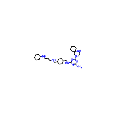 Nc1nc(NCC2CCC(CNCCCNC3CCCCC3)CC2)nc(N2CCNC3(CCCCC3)C2)n1